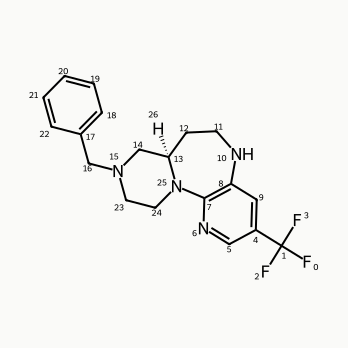 FC(F)(F)c1cnc2c(c1)NCC[C@@H]1CN(Cc3ccccc3)CCN21